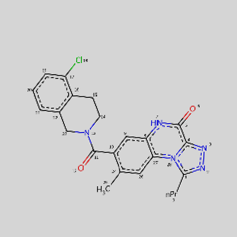 CCCc1nnc2c(=O)[nH]c3cc(C(=O)N4CCc5c(Cl)cccc5C4)c(C)cc3n12